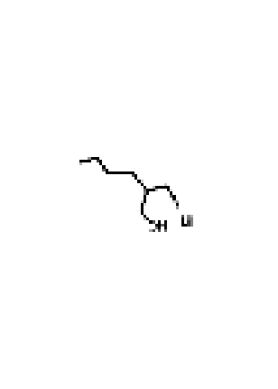 CCCCC(CC)CO.[LiH]